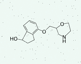 OC1CCc2c(OCC3CNCCO3)cccc21